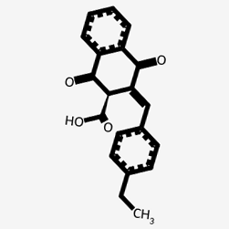 CCc1ccc(/C=C2/C(=O)c3ccccc3C(=O)[C@@H]2C(=O)O)cc1